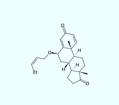 CC/C=C\CO[C@@H]1C[C@@H]2[C@H](CC[C@]3(C)C(=O)CC[C@@H]23)[C@@]2(C)C=CC(=O)C=C12